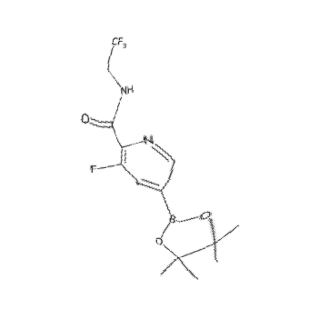 CC1(C)OB(c2cnc(C(=O)NCC(F)(F)F)c(F)c2)OC1(C)C